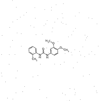 COc1ccc(NC(=O)Nc2ccccc2C)cc1OC